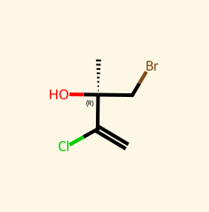 C=C(Cl)[C@@](C)(O)CBr